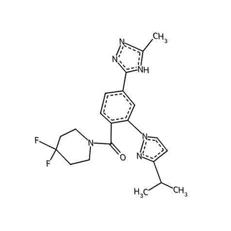 Cc1nnc(-c2ccc(C(=O)N3CCC(F)(F)CC3)c(-n3ccc(C(C)C)n3)c2)[nH]1